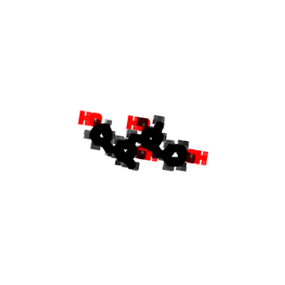 Cc1cc(Cc2ccc(O)cc2)cc(Cc2cc(Cc3ccc(O)cc3)cc(C)c2O)c1O